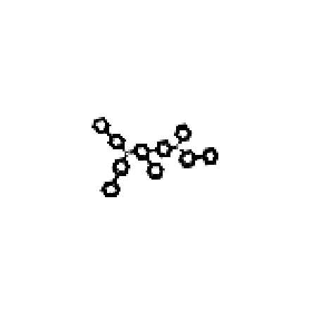 c1ccc(N(c2ccc(-c3ccc(N(c4ccc(C5=CCCC=C5)cc4)c4ccc(-c5ccccc5)cc4)cc3-c3ccccc3)cc2)c2cccc(-c3ccccc3)c2)cc#1